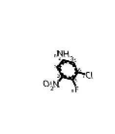 N.O=[N+]([O-])c1cccc(Cl)c1F